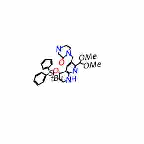 COC(OC)c1nc2c(cc1CN1CCN(C)CC1=O)C(O[Si](c1ccccc1)(c1ccccc1)C(C)(C)C)CCN2